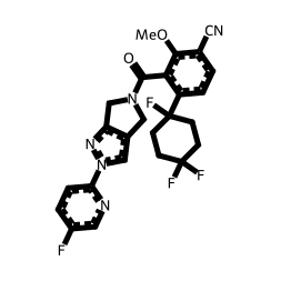 COc1c(C#N)ccc(C2(F)CCC(F)(F)CC2)c1C(=O)N1Cc2cn(-c3ccc(F)cn3)nc2C1